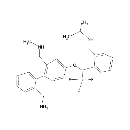 CNCc1cc(OC(c2ccccc2CNC(C)C)C(F)(F)F)ccc1-c1ccccc1CN